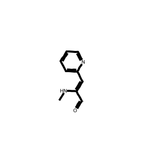 CNC([C]=O)=Cc1ccccn1